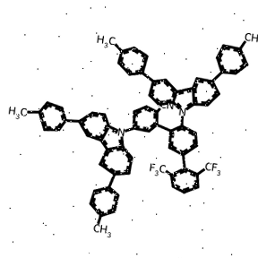 Cc1ccc(-c2ccc3c(c2)c2cc(-c4ccc(C)cc4)ccc2n3-c2ccc(C#N)c(-c3cc(-c4c(C(F)(F)F)cccc4C(F)(F)F)ccc3-n3c4ccc(-c5ccc(C)cc5)cc4c4cc(-c5ccc(C)cc5)ccc43)c2)cc1